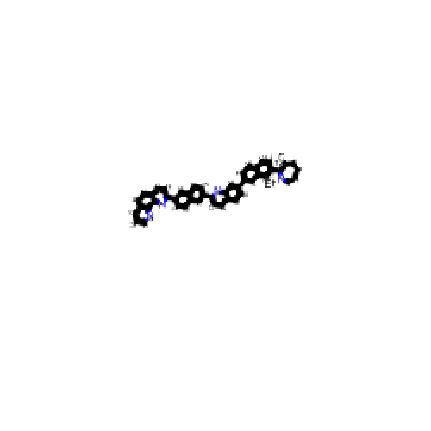 CCc1c(C2=C(C)CC=CC=N2)ccc2ccc(-c3ccc4ccc(-c5ccc6cc(-c7ccc8ccc9cccnc9c8n7)ccc6c5)nc4c3)cc12